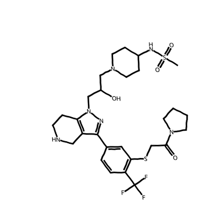 CS(=O)(=O)NC1CCN(CC(O)Cn2nc(-c3ccc(C(F)(F)F)c(SCC(=O)N4CCCC4)c3)c3c2CCNC3)CC1